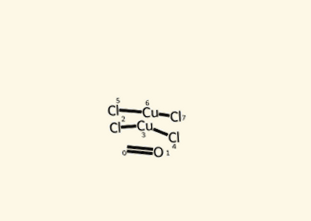 C=O.[Cl][Cu][Cl].[Cl][Cu][Cl]